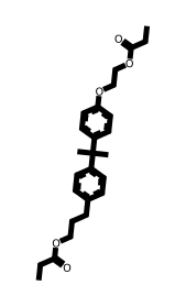 CCC(=O)OCCCc1ccc(C(C)(C)c2ccc(OCCOC(=O)CC)cc2)cc1